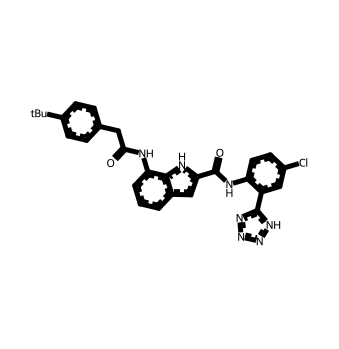 CC(C)(C)c1ccc(CC(=O)Nc2cccc3cc(C(=O)Nc4ccc(Cl)cc4-c4nnn[nH]4)[nH]c23)cc1